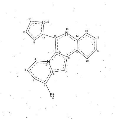 CCc1cccn2c1cc1c3ccccc3nc(-c3ccco3)c12